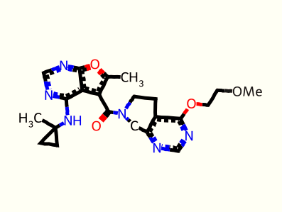 COCCOc1ncnc2c1CCN(C(=O)c1c(C)oc3ncnc(NC4(C)CC4)c13)C2